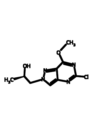 COc1nc(Cl)nc2cn(C[C@@H](C)O)nc12